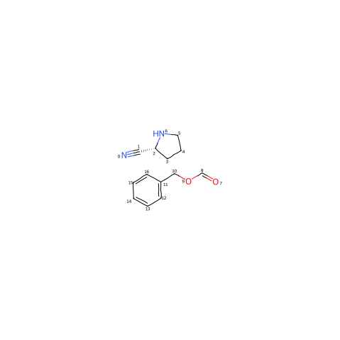 N#C[C@H]1CCCN1.O=COCc1ccccc1